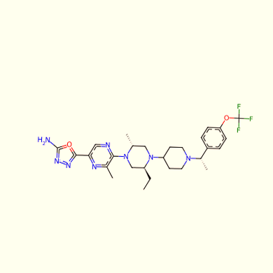 CC[C@H]1CN(c2ncc(-c3nnc(N)o3)nc2C)[C@H](C)CN1C1CCN([C@@H](C)c2ccc(OC(F)(F)F)cc2)CC1